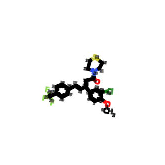 COc1ccc(C(=C\C(=O)N2CCSCC2)/C=C/c2ccc(C(F)(F)F)cc2)cc1Cl